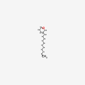 CCCCCCCCCCCC1CCCOC1